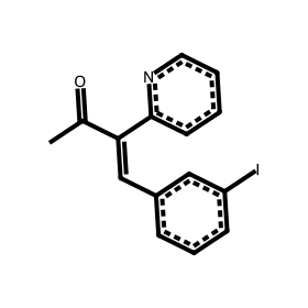 CC(=O)/C(=C/c1cccc(I)c1)c1ccccn1